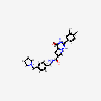 Cc1ccc(-c2nn3cc(C(=O)NCc4ccc(CN5CCCC5)cc4)cc3c(=O)[nH]2)cc1C